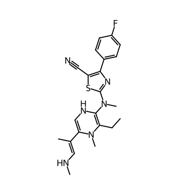 CCC1=C(N(C)c2nc(-c3ccc(F)cc3)c(C#N)s2)NC=C(/C(C)=C/NC)N1C